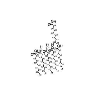 CCCCCCCCCC(=O)O.CCCCCCCCCC(=O)O.CCCCCCCCCC(=O)O.CCCCCCCCCC(=O)O.CCCCCCCCCC(=O)O.CCCCCCCCCC(=O)O